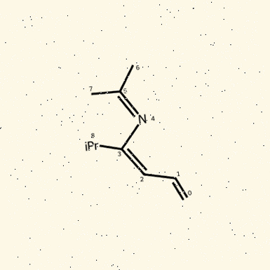 C=C/C=C(\N=C(C)C)C(C)C